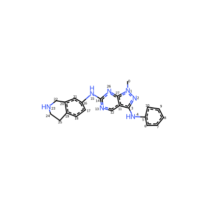 Cn1nc(Nc2ccccc2)c2cnc(Nc3ccc4c(c3)CNCC4)nc21